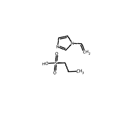 C=Cn1ccnc1.CCCS(=O)(=O)O